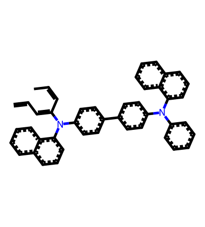 C=C/C=C(\C=C/C)N(c1ccc(-c2ccc(N(c3ccccc3)c3cccc4ccccc34)cc2)cc1)c1cccc2ccccc12